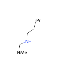 CNCNCCC(C)C